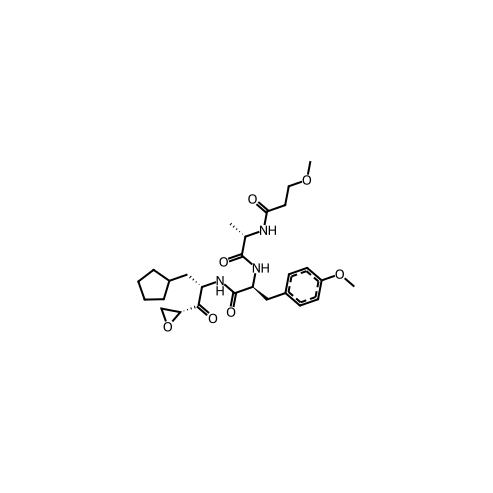 COCCC(=O)N[C@@H](C)C(=O)N[C@@H](Cc1ccc(OC)cc1)C(=O)N[C@@H](CC1CCCC1)C(=O)[C@H]1CO1